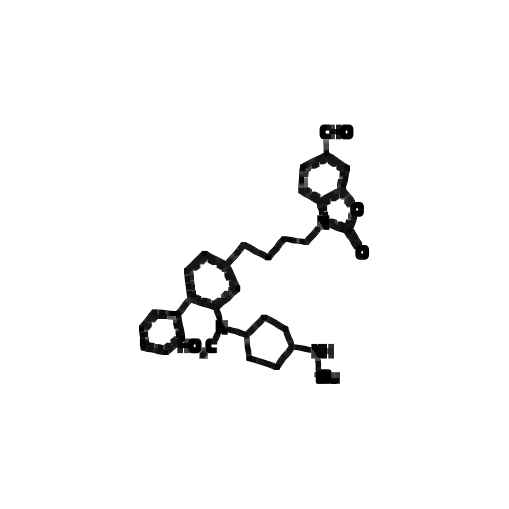 CC(C)(C)NC1CCC(N(C(=O)O)c2cc(CCCCn3c(=O)oc4cc(C=O)ccc43)ccc2-c2ccccc2)CC1